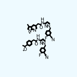 COC(C)c1ccc(CC(=O)Nc2ccn(Cc3ccc(F)c(C#N)c3)n2)cc1.Cc1cn(C)c2ncc(CC(=O)Nc3ccn(Cc4ccc(F)c(C#N)c4)n3)cc12